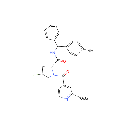 CC(C)COc1cc(C(=O)N2CC(F)CC2C(=O)NC(c2ccccc2)c2ccc(C(C)C)cc2)ccn1